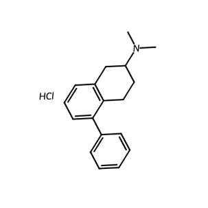 CN(C)C1CCc2c(cccc2-c2ccccc2)C1.Cl